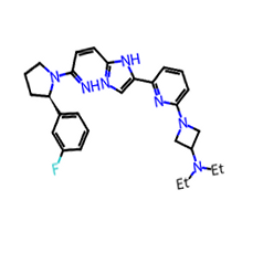 CCN(CC)C1CN(c2cccc(-c3cnc(/C=C\C(=N)N4CCC[C@@H]4c4cccc(F)c4)[nH]3)n2)C1